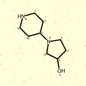 OC1CCN(C2CCNCC2)C1